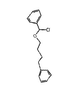 ClC(OCCCCc1ccccc1)c1ccccc1